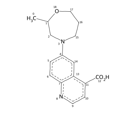 CC1CN(c2ccc3nccc(C(=O)O)c3c2)CCCO1